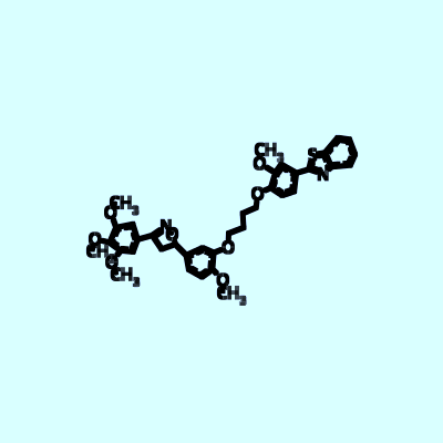 COc1cc(-c2nc3ccccc3s2)ccc1OCCCCOc1cc(C2CC(c3cc(OC)c(OC)c(OC)c3)=NO2)ccc1OC